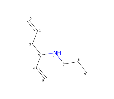 C=CCC(C=C)NCCC